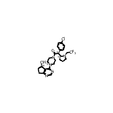 C[C@@H]1CCc2ncnc(N3CCN(C(=O)[C@@H](c4ccc(Cl)cc4)[C@@H]4CCCN4CC(F)(F)F)CC3)c21